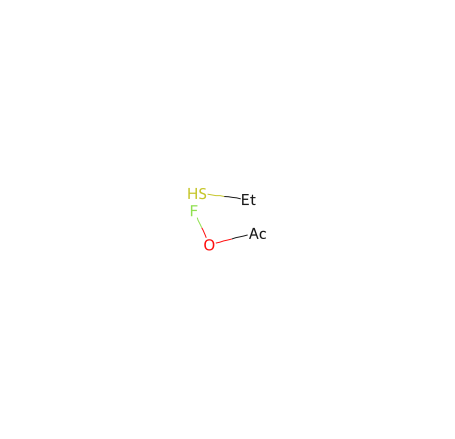 CC(=O)OF.CCS